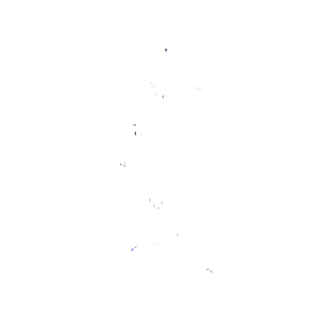 CC/C=C\CCCCOC(CCCCC(=O)OCCCCCCN(CCCCO)CCCCOC(=O)CCCCC(OCCCC/C=C\CC)OCCCC/C=C\CC)OCCCC/C=C\CC